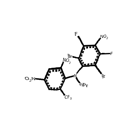 CCCN(c1c([N+](=O)[O-])cc([N+](=O)[O-])cc1C(F)(F)F)c1c(Br)c(F)c([N+](=O)[O-])c(F)c1Br